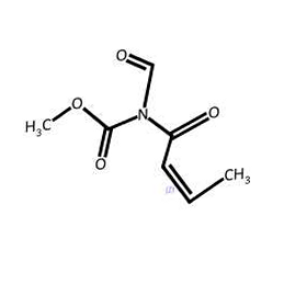 C/C=C\C(=O)N(C=O)C(=O)OC